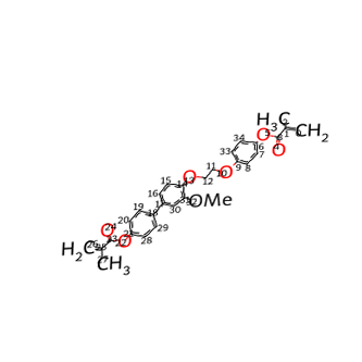 C=C(C)C(=O)Oc1ccc(OCCOc2ccc(-c3ccc(OC(=O)C(=C)C)cc3)cc2OC)cc1